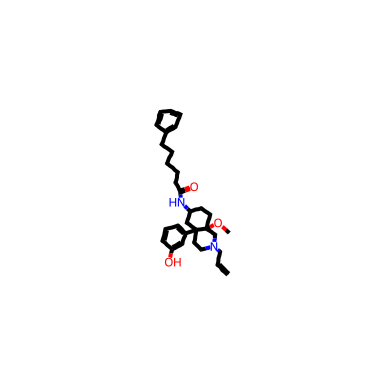 C=CCN1CCC2(c3cccc(O)c3)CC(NC(=O)CCCCCc3ccccc3)CCC2(OC)C1